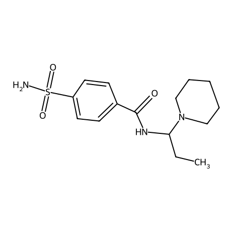 CCC(NC(=O)c1ccc(S(N)(=O)=O)cc1)N1CCCCC1